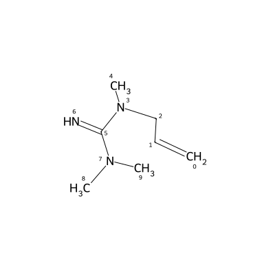 C=CCN(C)C(=N)N(C)C